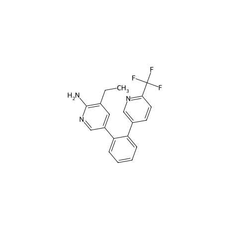 CCc1cc(-c2ccccc2-c2ccc(C(F)(F)F)nc2)cnc1N